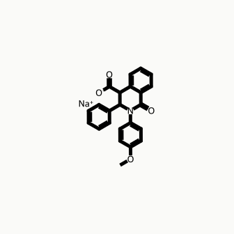 COc1ccc(N2C(=O)c3ccccc3C(C(=O)[O-])C2c2ccccc2)cc1.[Na+]